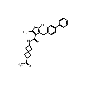 CC(=O)C1CC2(CC(NC(=O)c3c(C)sc(C)c3Cc3ccc(-c4ccccc4)cc3)C2)C1